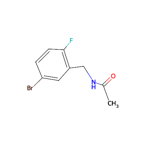 CC(=O)NCc1cc(Br)ccc1F